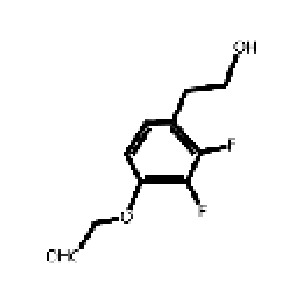 O=CCOc1ccc(CCO)c(F)c1F